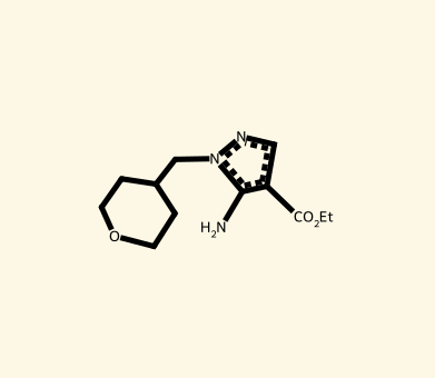 CCOC(=O)c1cnn(CC2CCOCC2)c1N